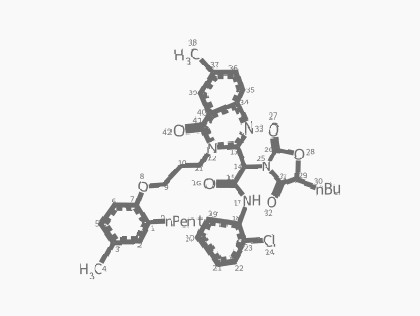 CCCCCc1cc(C)ccc1OCCCn1c(C(C(=O)Nc2ccccc2Cl)N2C(=O)OC(CCCC)C2=O)nc2ccc(C)cc2c1=O